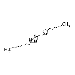 CCCCCCCCCc1cn2cc(CCc3ccc(CCCCCCC)cc3)sc2n1